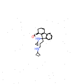 O=C=C1CC=CC2=C1C(CCCNC1CCC1)(NC1CC1)c1ccccc12